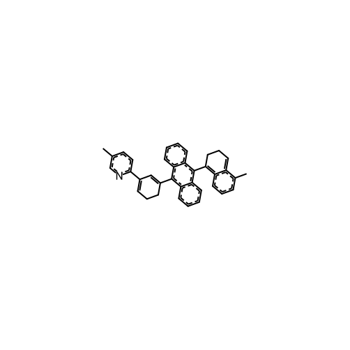 Cc1ccc(C2=CCCC(c3c4ccccc4c(C4=c5cccc(C)c5=CCC4)c4ccccc34)=C2)nc1